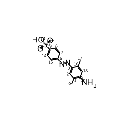 Cc1cc(N=Nc2ccc(S(=O)(=O)O)cc2)c(C)cc1N